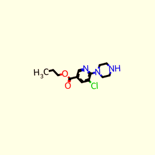 CCCOC(=O)c1cnc(N2CCNCC2)c(Cl)c1